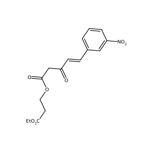 CCOC(=O)CCOC(=O)CC(=O)C=Cc1cccc([N+](=O)[O-])c1